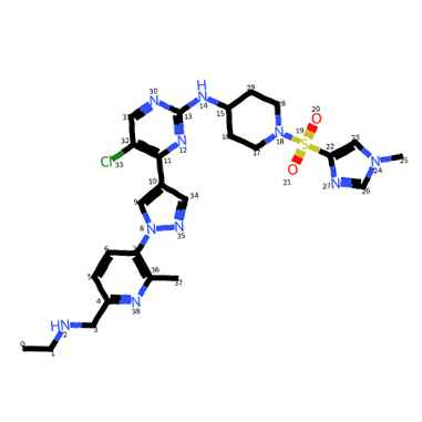 CCNCc1ccc(-n2cc(-c3nc(NC4CCN(S(=O)(=O)c5cn(C)cn5)CC4)ncc3Cl)cn2)c(C)n1